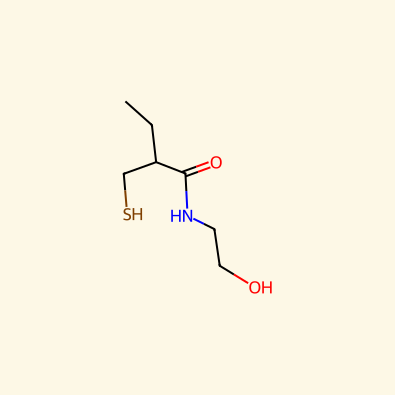 CCC(CS)C(=O)NCCO